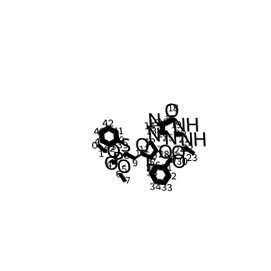 CCOP(=O)(OCC)C(C[C@H]1O[C@@H](n2cnc3c(=O)[nH]c(NC(C)=O)nc32)[C@H](OC(=O)c2ccccc2)[C@@H]1F)Sc1ccccc1